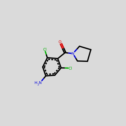 Nc1cc(Cl)c(C(=O)N2CCCC2)c(Cl)c1